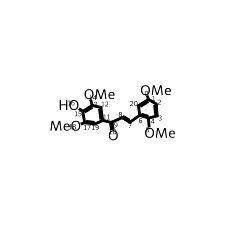 COc1ccc(OC)c(/C=C/C(=O)c2cc(OC)c(O)c(OC)c2)c1